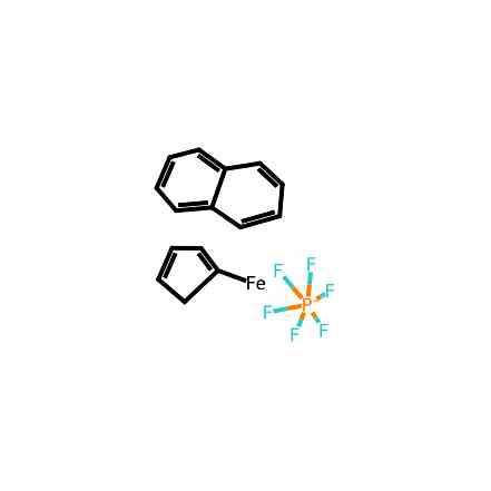 F[P-](F)(F)(F)(F)F.[Fe][C]1=CC=CC1.c1ccc2ccccc2c1